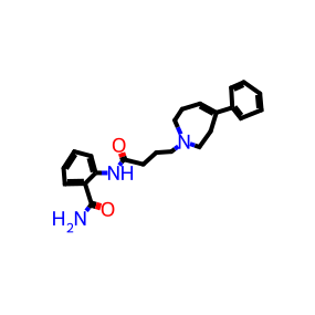 NC(=O)c1ccccc1NC(=O)CCCN1CCC=C(c2ccccc2)CC1